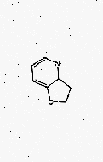 C1=C[N]C2CCOC2=C1